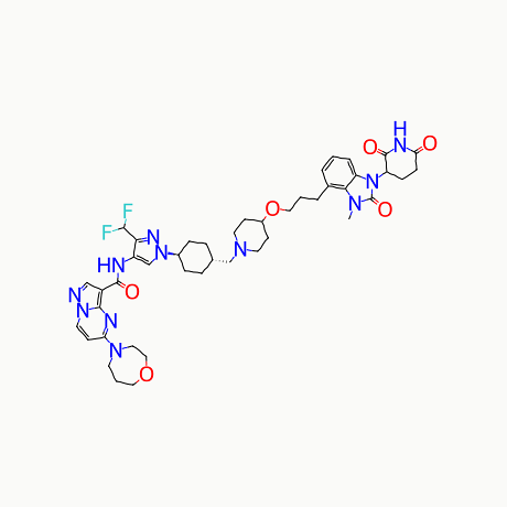 Cn1c(=O)n(C2CCC(=O)NC2=O)c2cccc(CCCOC3CCN(C[C@H]4CC[C@H](n5cc(NC(=O)c6cnn7ccc(N8CCCOCC8)nc67)c(C(F)F)n5)CC4)CC3)c21